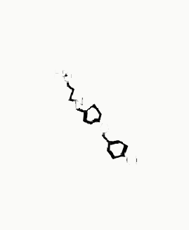 CCOCCC/N=C/c1ccc(OCc2ccc(Cl)cc2)cc1